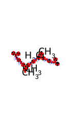 Cc1ccc(N(c2ccc(/C=C/c3ccc(/C=C/C=C(c4ccccc4)c4ccccc4)cc3)cc2)c2ccc(/C=C/c3ccc(/C=C/c4ccc(N(c5ccc(/C=C/c6ccc(/C=C/C=C(c7ccccc7)c7ccccc7)cc6)cc5)c5ccc(C)cc5C)cc4)cc3)cc2)c(C)c1